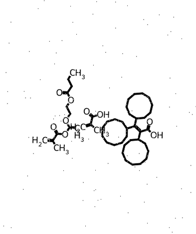 C=C(C)C(=O)O.C=C(C)C(=O)OC(C)OCCOC(=O)CCC.O=C(O)C(=C(C1CCCCCCCCC1)C1CCCCCCCCC1)C1CCCCCCCCC1